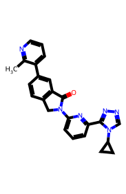 Cc1ncccc1-c1ccc2c(c1)C(=O)N(c1cccc(-c3nncn3C3CC3)n1)C2